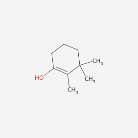 CC1=C(O)CCCC1(C)C